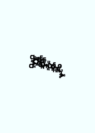 O=C(NCC1CC1)c1cc2c(s1)CN(C1=NOC(c3cc(Cl)cc(Cl)c3)(C(F)(F)F)C1)C2